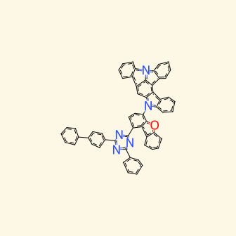 c1ccc(-c2ccc(-c3nc(-c4ccccc4)nc(-c4ccc(-n5c6ccccc6c6c7c8ccccc8n8c9ccccc9c(cc65)c78)c5oc6ccccc6c45)n3)cc2)cc1